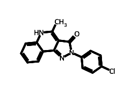 Cc1[nH]c2ccccc2c2nn(-c3ccc(Cl)cc3)c(=O)c1-2